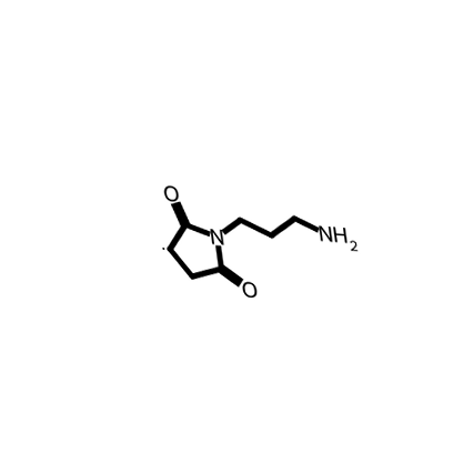 NCCCN1C(=O)[CH]CC1=O